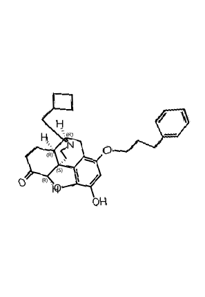 O=C1CC[C@H]2[C@H]3Cc4c(OCCCc5ccccc5)cc(O)c5c4[C@@]2(CCN3CC2CCC2)[C@H]1O5